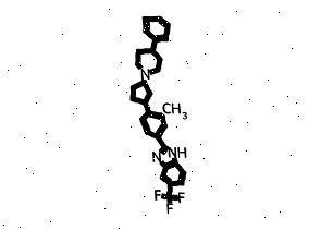 Cc1cc(-c2nc3cc(C(F)(F)F)ccc3[nH]2)ccc1C1CCC(N2CCC(c3ccccc3)CC2)C1